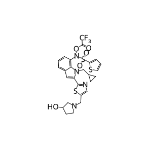 O=C(ON(c1cccc2cc(-c3ncc(CN4CCC(O)C4)s3)n(CC3CC3)c12)S(=O)(=O)c1cccs1)C(F)(F)F